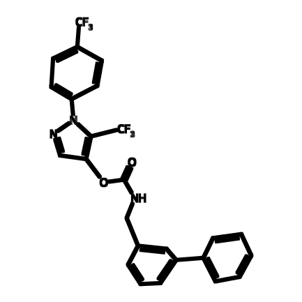 O=C(NCc1cccc(-c2ccccc2)c1)Oc1cnn(-c2ccc(C(F)(F)F)cc2)c1C(F)(F)F